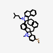 CSc1ccc2c(c1)C(Cc1ccccc1)(Cc1ccccc1)C(/C=C/C=C1/N(CCC(C)C)c3ccc4ccccc4c3C13CCCCC3)=[N+]2C